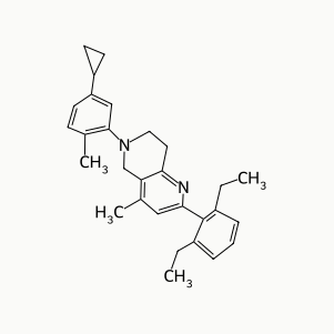 CCc1cccc(CC)c1-c1cc(C)c2c(n1)CCN(c1cc(C3CC3)ccc1C)C2